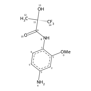 COc1cc(N)ccc1NC(=O)[C@@](C)(O)C(F)(F)F